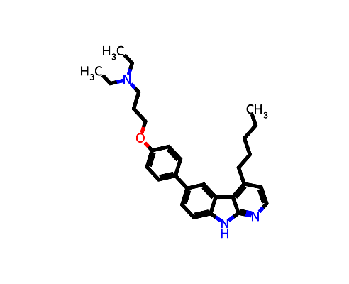 CCCCCc1ccnc2[nH]c3ccc(-c4ccc(OCCCN(CC)CC)cc4)cc3c12